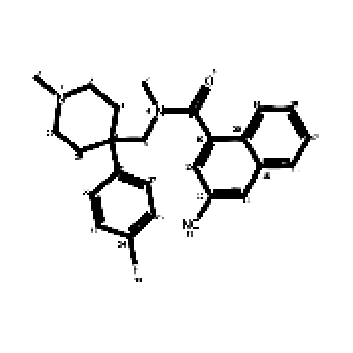 CN1CCC(CN(C)C(=O)c2cc(C#N)cc3ccccc23)(c2ccc(F)cc2)CC1